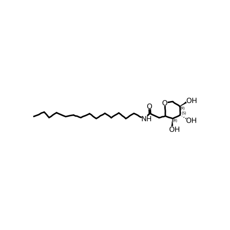 CCCCCCCCCCCCCCNC(=O)CC1OC[C@@H](O)[C@H](O)[C@H]1O